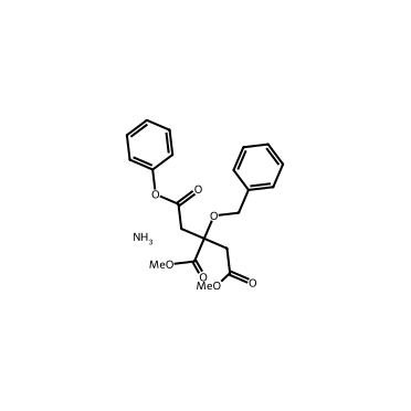 COC(=O)CC(CC(=O)Oc1ccccc1)(OCc1ccccc1)C(=O)OC.N